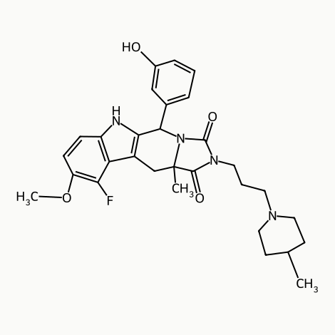 COc1ccc2[nH]c3c(c2c1F)CC1(C)C(=O)N(CCCN2CCC(C)CC2)C(=O)N1C3c1cccc(O)c1